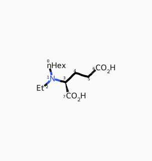 CCCCCCN(CC)[C@@H](CCC(=O)O)C(=O)O